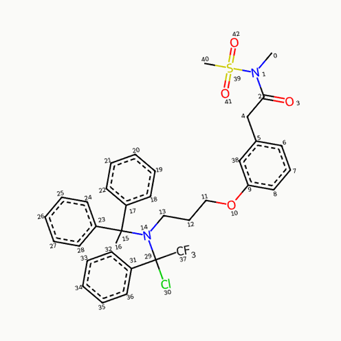 CN(C(=O)Cc1cccc(OCCCN(C(C)(c2ccccc2)c2ccccc2)C(Cl)(c2ccccc2)C(F)(F)F)c1)S(C)(=O)=O